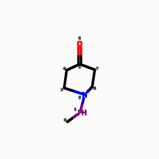 CPN1CCC(=O)CC1